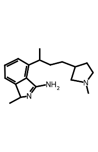 CC(CCC1CCN(C)C1)c1cccc2c1C(N)=NC2C